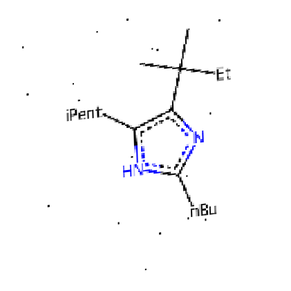 CCCCc1nc(C(C)(C)CC)c(C(C)CCC)[nH]1